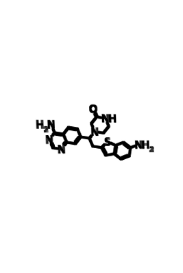 Nc1ccc2cc(CC(c3ccc4c(N)ncnc4c3)N3CCNC(=O)C3)sc2c1